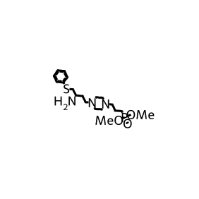 COP(=O)(CCCN1CCN(CC[C@@H](N)CSc2ccccc2)CC1)OC